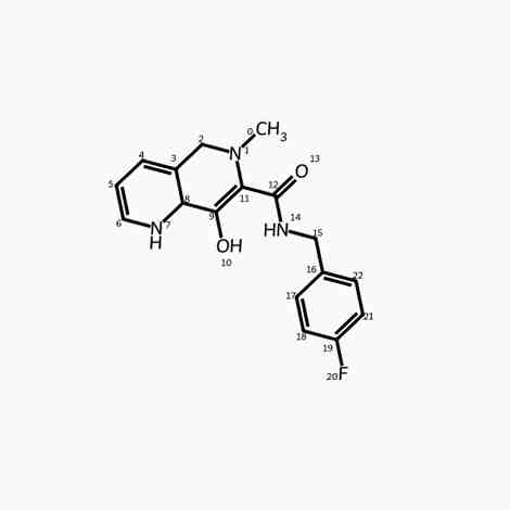 CN1CC2=CC=CNC2C(O)=C1C(=O)NCc1ccc(F)cc1